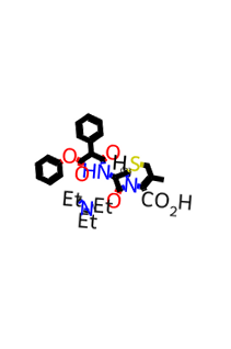 CC1=C(C(=O)O)N2C(=O)C(NC(=O)C(C(=O)Oc3ccccc3)c3ccccc3)[C@@H]2SC1.CCN(CC)CC